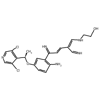 C[C@@H](Oc1ccc(N)c(C(=N)/C=C/C(C=N)=C/NCCO)c1)c1c(Cl)cncc1Cl